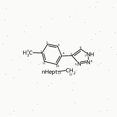 Cc1ccc(-c2c[nH]nn2)cc1.[CH2]CCCCCCC